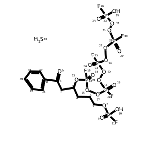 O=C(CC(CCCOP(=O)(O)F)OP(=O)(F)OOP(=O)(F)OOP(=O)(F)OOP(=O)(F)OOP(=O)(O)F)c1ccccc1.S